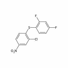 O=[N+]([O-])c1ccc(Sc2ccc(F)cc2F)c(Cl)c1